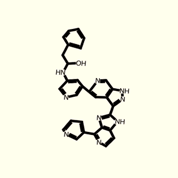 OC(Cc1ccccc1)Nc1cncc(-c2cc3c(-c4nc5c(-c6cccnc6)nccc5[nH]4)n[nH]c3cn2)c1